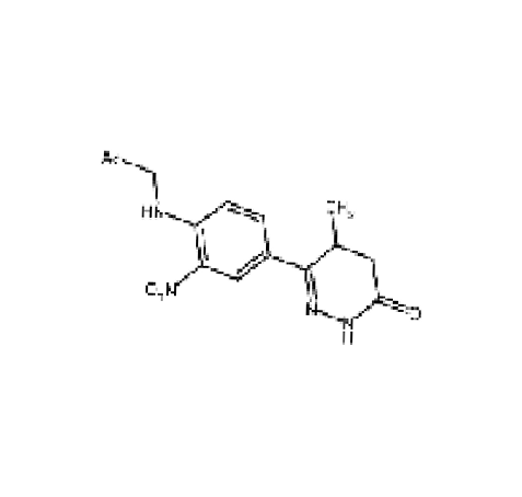 CC(=O)CNc1ccc(C2=NNC(=O)CC2C)cc1[N+](=O)[O-]